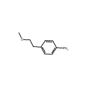 COCCc1ccc(P)cc1